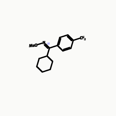 CO/N=C(/c1ccc(C(F)(F)F)cc1)C1CCCCC1